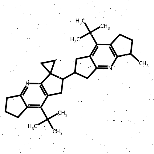 CC1CCc2c1nc1c(c2C(C)(C)C)CC(C2Cc3c(nc4c(c3C(C)(C)C)CCC4)C23CC3)C1